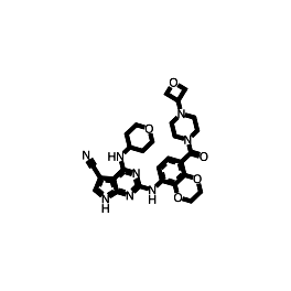 N#Cc1c[nH]c2nc(Nc3ccc(C(=O)N4CCN(C5COC5)CC4)c4c3OCCO4)nc(NC3CCOCC3)c12